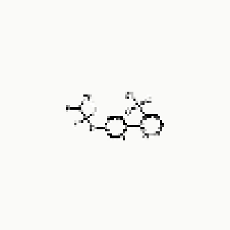 CCS(=O)(=O)c1cccnc1-c1ccc(OC(F)(F)C(F)C(F)(F)F)cn1